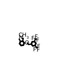 CN1Cc2cccc(OCc3cc(C(F)(F)F)cc(C(F)(F)F)c3)c2C1